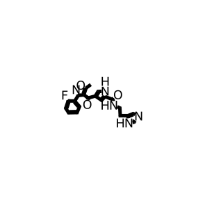 Cc1onc(-c2ccccc2F)c1C(=O)c1c[nH]c(C(=O)NCCc2cnc[nH]2)c1